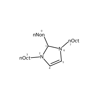 CCCCCCCCCC1N(CCCCCCCC)C=CN1CCCCCCCC